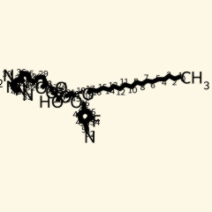 CCCCCCCCCCCCCCCCCCOC[C@H](COP(=O)(O)OC[C@@H]1CC[C@](C#N)(c2ccc3c(N)ncnn23)O1)OCc1ccc(C#N)c(F)c1